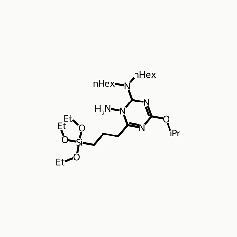 CCCCCCN(CCCCCC)C1N=C(OC(C)C)N=C(CCC[Si](OCC)(OCC)OCC)N1N